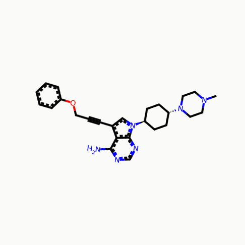 CN1CCN([C@H]2CC[C@H](n3cc(C#CCOc4ccccc4)c4c(N)ncnc43)CC2)CC1